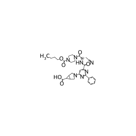 CCCCOC(=O)N1CCN(C(=O)[C@H](CC#N)NC(=O)c2cc(N3CC4C(C3)C4C(=O)O)nc(-c3ccccc3)n2)CC1